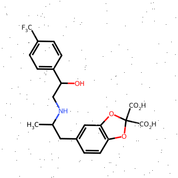 CC(Cc1ccc2c(c1)OC(C(=O)O)(C(=O)O)O2)NCC(O)c1ccc(C(F)(F)F)cc1